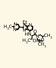 CCn1c(-c2cnc(C)nc2)nc2c(N[C@H](C(=O)N3CC(C)OC(C)C3)[C@@H](C)OC)ccnc21